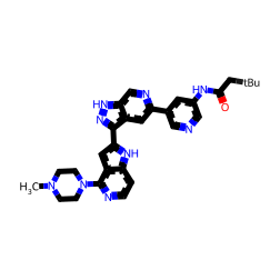 CN1CCN(c2nccc3[nH]c(-c4n[nH]c5cnc(-c6cncc(NC(=O)CC(C)(C)C)c6)cc45)cc23)CC1